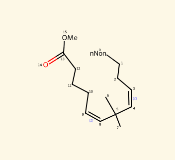 CCCCCCCCCCC/C=C\C(C)(C)/C=C\CCCC(=O)OC